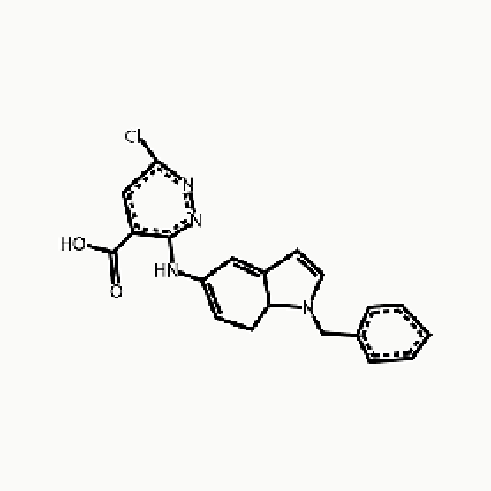 O=C(O)c1cc(Cl)nnc1NC1=CCC2C(=C1)C=CN2Cc1ccccc1